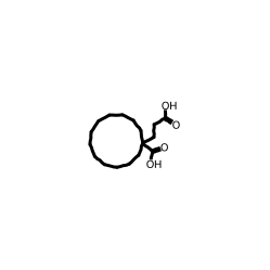 O=C(O)CCC1(C(=O)O)CCCCCCCCCCCC1